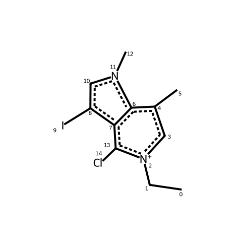 CC[n+]1cc(C)c2c(c(I)cn2C)c1Cl